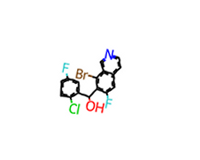 OC(c1cc(F)ccc1Cl)c1c(F)cc2ccncc2c1Br